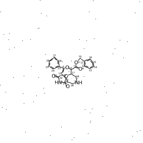 O=C1CS(=C(OC(C(=O)OCc2ccccc2)C2CNCCO2)c2ccccc2)C(=O)N1